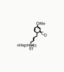 CCCCCCC[N+](CC)(CC)CC=CCC1C=CC(OC)=CC1=C=O